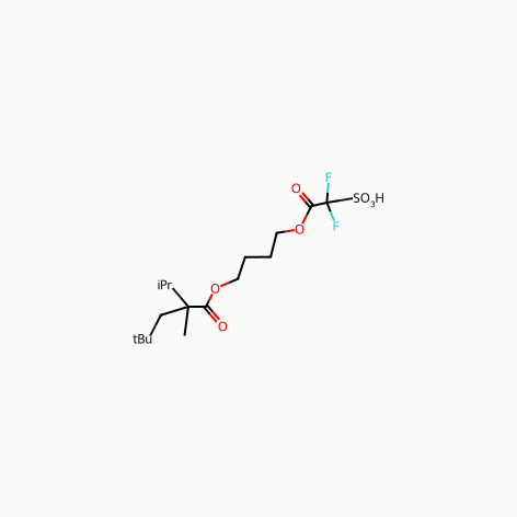 CC(C)C(C)(CC(C)(C)C)C(=O)OCCCCOC(=O)C(F)(F)S(=O)(=O)O